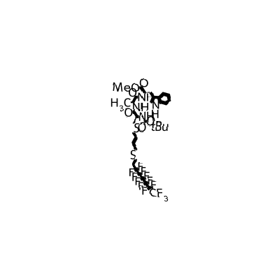 COC(=O)[C@H](Cc1c[nH]c2ccccc12)NC(=O)[C@H](C)NC(=O)[C@H](CSCC=CCSCCC(F)(F)C(F)(F)C(F)(F)C(F)(F)C(F)(F)C(F)(F)F)NC(=O)OC(C)(C)C